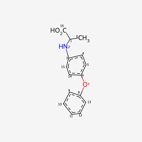 CC(Nc1ccc(Oc2ccccc2)cc1)C(=O)O